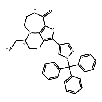 NC[C@@H]1COc2c(-c3cnn(C(c4ccccc4)(c4ccccc4)c4ccccc4)c3)sc3c2N1CCNC3=O